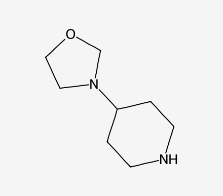 C1CC(N2CCOC2)CCN1